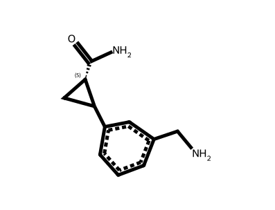 NCc1cccc(C2C[C@@H]2C(N)=O)c1